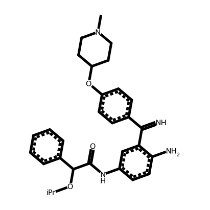 CC(C)OC(C(=O)Nc1ccc(N)c(C(=N)c2ccc(OC3CCN(C)CC3)cc2)c1)c1ccccc1